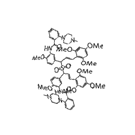 COc1cc(OC)c(C=CC(c2ccc(OC)c(NC(=O)c3ccccc3N3CCN(C)CC3)c2)S(=O)(=O)C(C=Cc2c(OC)cc(OC)cc2OC)c2ccc(OC)c(NC(=O)c3ccccc3N3CCN(C)CC3)c2)c(OC)c1